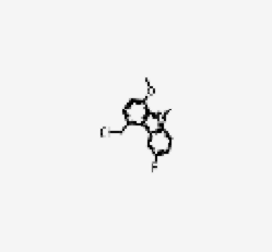 COc1ccc(CCl)c2c3cc(F)ccc3n(C)c12